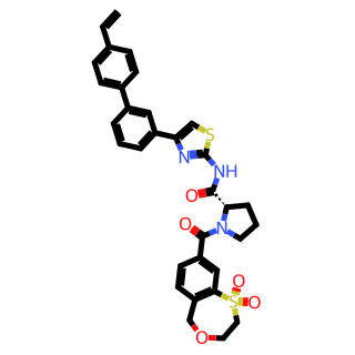 C=Cc1ccc(-c2cccc(-c3csc(NC(=O)[C@@H]4CCCN4C(=O)c4ccc5c(c4)S(=O)(=O)CCOC5)n3)c2)cc1